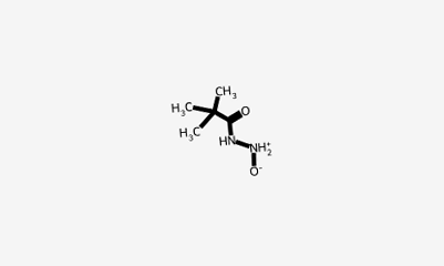 CC(C)(C)C(=O)N[NH2+][O-]